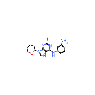 Nc1cccc(Nc2nc(I)nc3c2ncn3C2CCCCO2)c1